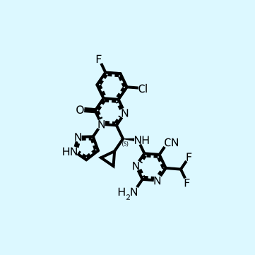 N#Cc1c(N[C@H](c2nc3c(Cl)cc(F)cc3c(=O)n2-c2cc[nH]n2)C2CC2)nc(N)nc1C(F)F